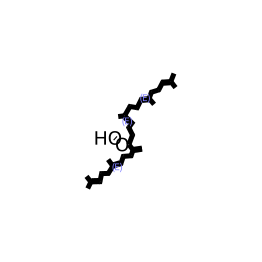 C=C(CC/C=C(\C)CCC=C(C)C)C(CC/C=C(\C)CC/C=C(\C)CCC=C(C)C)OO